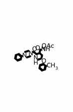 CC(=O)ONC(=O)C1CC(Oc2ccccc2C)CNC1C(=O)N1CCN(c2ccccc2)CC1